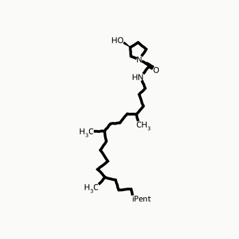 CCCC(C)CCCC(C)CCCCC(C)CCCC(C)CCCNC(=O)N1CC[C@H](O)C1